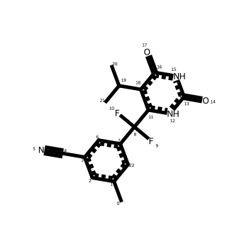 Cc1cc(C#N)cc(C(F)(F)c2[nH]c(=O)[nH]c(=O)c2C(C)C)c1